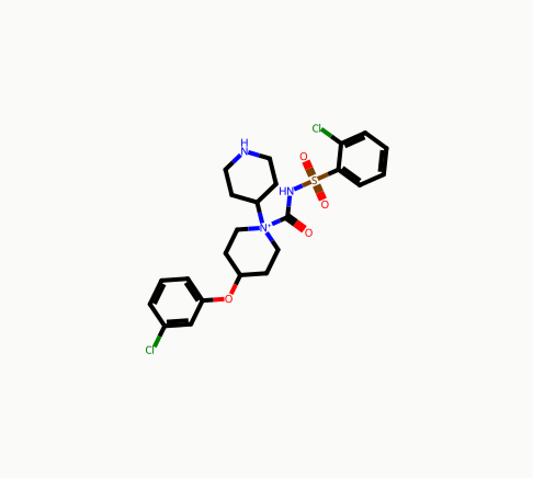 O=C(NS(=O)(=O)c1ccccc1Cl)[N+]1(C2CCNCC2)CCC(Oc2cccc(Cl)c2)CC1